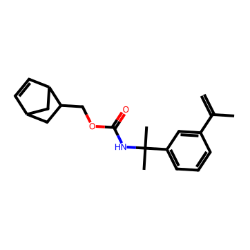 C=C(C)c1cccc(C(C)(C)NC(=O)OCC2CC3C=CC2C3)c1